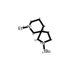 CCN1CCCC2(CCN(C(C)(C)C)C2)C1